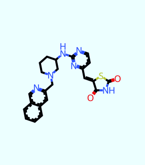 O=C1NC(=O)/C(=C/c2ccnc(NC3CCCN(Cc4cc5ccccc5cn4)C3)n2)S1